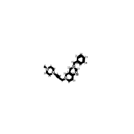 CN1CCN(C#CCN2CCC3=C(CN(Cc4ccccc4)C=N3)C2)CC1